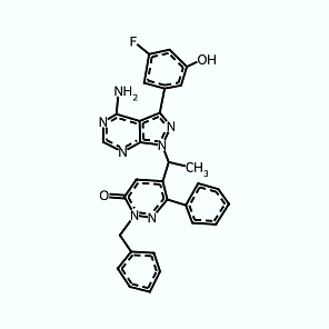 CC(c1cc(=O)n(Cc2ccccc2)nc1-c1ccccc1)n1nc(-c2cc(O)cc(F)c2)c2c(N)ncnc21